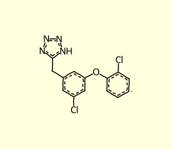 Clc1cc(Cc2nnn[nH]2)cc(Oc2cc[c]cc2Cl)c1